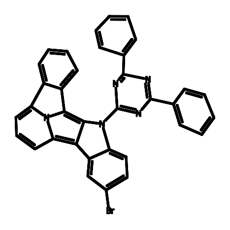 Brc1ccc2c(c1)c1c(c3c4ccccc4c4cccc1n43)n2-c1nc(-c2ccccc2)nc(-c2ccccc2)n1